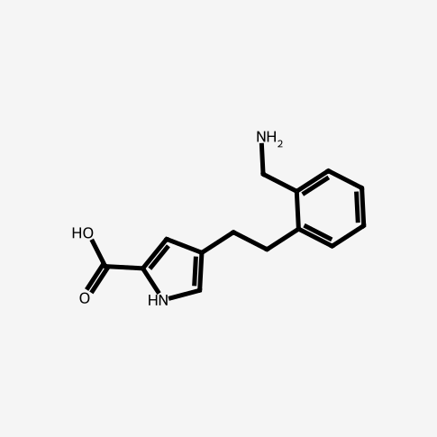 NCc1ccccc1CCc1c[nH]c(C(=O)O)c1